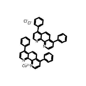 [Cl-].[Cl-].[Cu+2].c1ccc(-c2ccnc3c2ccc2c(-c4ccccc4)ccnc23)cc1.c1ccc(-c2ccnc3c2ccc2c(-c4ccccc4)ccnc23)cc1